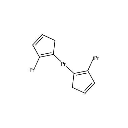 CC(C)C1=[C]([Pr][C]2=C(C(C)C)C=CC2)CC=C1